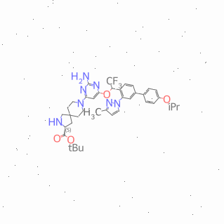 Cc1ccn(-c2cc(-c3ccc(OC(C)C)cc3)ccc2C(Oc2cc(N3CCC4(CC3)CN[C@H](C(=O)OC(C)(C)C)C4)nc(N)n2)C(F)(F)F)n1